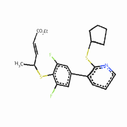 CCOC(=O)/C=C/C(C)Sc1c(F)cc(-c2cccnc2SC2CCCC2)cc1F